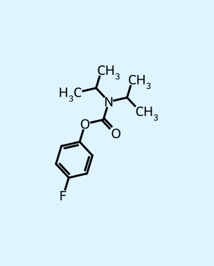 CC(C)N(C(=O)Oc1ccc(F)cc1)C(C)C